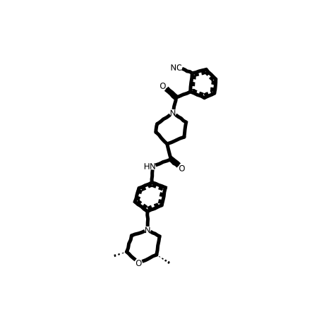 C[C@@H]1CN(c2ccc(NC(=O)C3CCN(C(=O)c4ccccc4C#N)CC3)cc2)C[C@H](C)O1